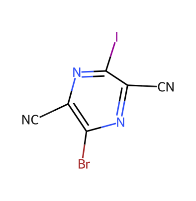 N#Cc1nc(I)c(C#N)nc1Br